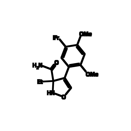 CCC1(C(N)=O)NOC=C1c1cc(C(C)C)c(OC)cc1OC